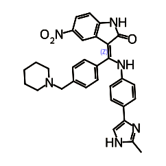 Cc1nc(-c2ccc(N/C(=C3\C(=O)Nc4ccc([N+](=O)[O-])cc43)c3ccc(CN4CCCCC4)cc3)cc2)c[nH]1